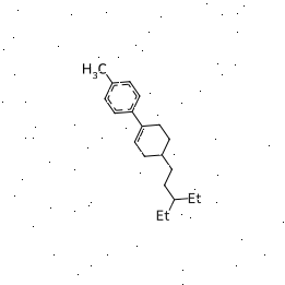 CCC(CC)CCC1CC=C(c2ccc(C)cc2)CC1